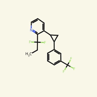 CCC(F)(F)c1ncccc1[C]1CC1c1cccc(C(F)(F)F)c1